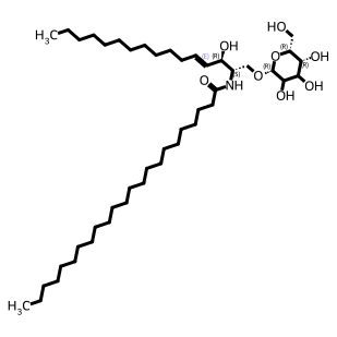 CCCCCCCCCCC/C=C/[C@@H](O)[C@H](CO[C@@H]1O[C@H](CO)[C@H](O)C(O)C1O)NC(=O)CCCCCCCCCCCCCCCCCCCCCC